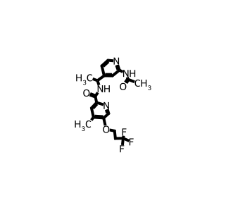 CC(=O)Nc1cc(C(C)NC(=O)c2cc(C)c(OCCC(F)(F)F)cn2)ccn1